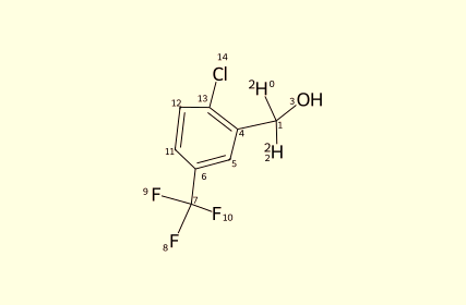 [2H]C([2H])(O)c1cc(C(F)(F)F)ccc1Cl